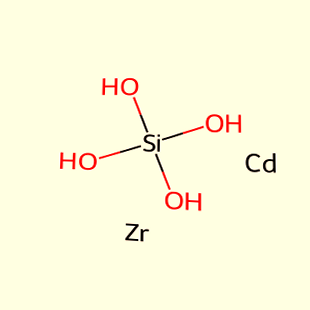 O[Si](O)(O)O.[Cd].[Zr]